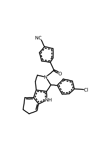 N#Cc1ccc(C(=O)N2CCc3c([nH]c4c3=CCCC=4)C2c2ccc(Cl)cc2)cc1